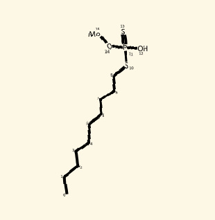 CCCCCCCCCCSP(O)(=S)[O][Mo]